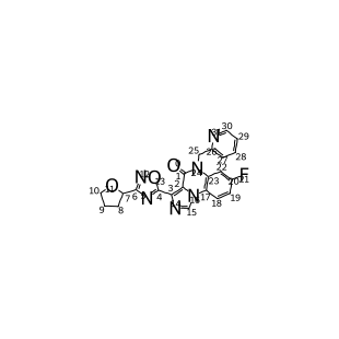 O=c1c2c(-c3nc(C4CCCO4)no3)ncn2c2ccc(F)cc2n1Cc1ccccn1